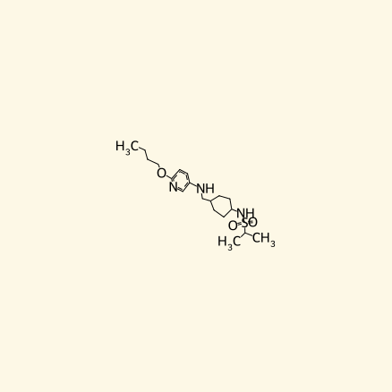 CCCCOc1ccc(NCC2CCC(NS(=O)(=O)C(C)C)CC2)cn1